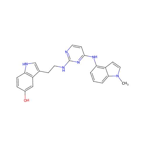 Cn1ccc2c(Nc3ccnc(NCCc4c[nH]c5ccc(O)cc45)n3)cccc21